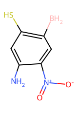 Bc1cc([N+](=O)[O-])c(N)cc1S